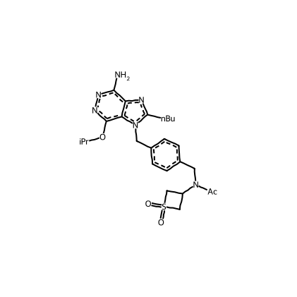 CCCCc1nc2c(N)nnc(OC(C)C)c2n1Cc1ccc(CN(C(C)=O)C2CS(=O)(=O)C2)cc1